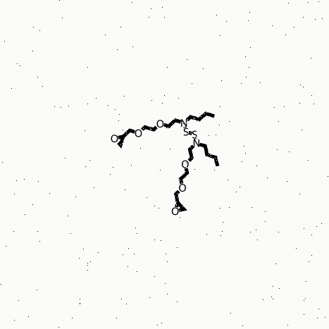 CCCCN(CCOCCOCC1CO1)SSN(CCCC)CCOCCOCC1CO1